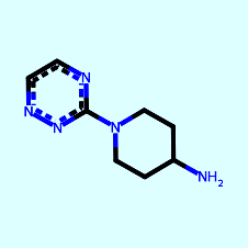 NC1CCN(c2nccnn2)CC1